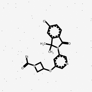 CCC(=O)N1CC(Oc2cncc(N3C(=O)c4ccc(Cl)cc4C3(C)C)c2)C1